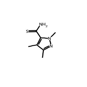 Cc1nn(C)c(C(N)=S)c1C